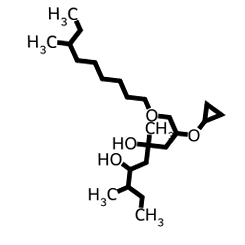 CCC(C)CCCCCCOCC(CC(C)(O)CC(O)C(C)CC)OC1CC1